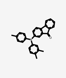 Cc1ccc(N(c2ccc(C)c(C)c2)c2ccc3c(c2)C(=O)c2ccccc2-3)cc1